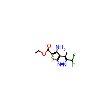 CCOC(=O)c1sc2nnc(C(F)F)c(C)c2c1N